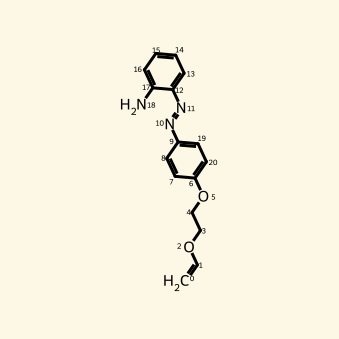 C=COCCOc1ccc(N=Nc2ccccc2N)cc1